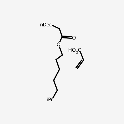 C=CC(=O)O.CCCCCCCCCCCC(=O)OCCCCCC(C)C